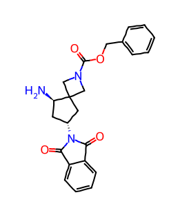 N[C@@H]1C[C@@H](N2C(=O)c3ccccc3C2=O)CC12CN(C(=O)OCc1ccccc1)C2